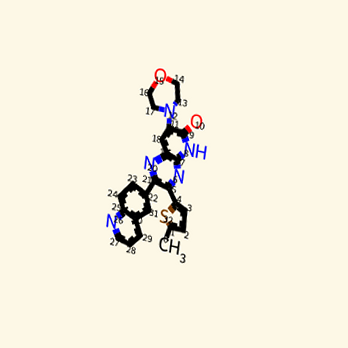 Cc1ccc(-c2nc3[nH]c(=O)c(N4CCOCC4)cc3nc2-c2ccc3ncccc3c2)s1